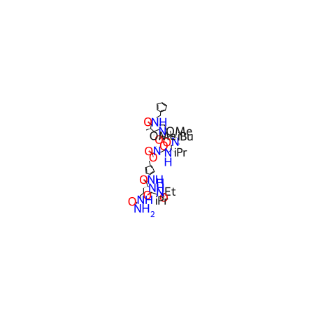 CCC(=O)N[C@@H](C(=O)N[C@H](CCCNC(N)=O)C(=O)Nc1ccc(COC(=O)N(C)CC(=O)N[C@H](C(=O)N(C)[C@@H]([C@@H](C)CC)[C@@H](CC(=O)N2CCC[C@H]2[C@H](OC)[C@@H](C)C(=O)NCCc2ccccc2)OC)C(C)C)cc1)C(C)C